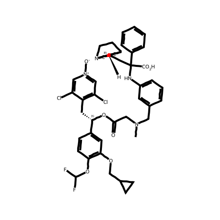 CN(CC(=O)O[C@@H](Cc1c(Cl)c[n+]([O-])cc1Cl)c1ccc(OC(F)F)c(OCC2CC2)c1)Cc1cccc(NC(C(=O)O)(c2ccccc2)[C@H]2CN3CCC2CC3)c1